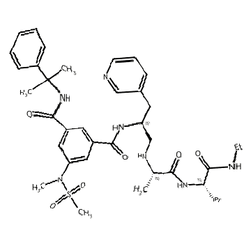 CCNC(=O)[C@@H](NC(=O)[C@H](C)NC[C@H](Cc1cccnc1)NC(=O)c1cc(C(=O)NC(C)(C)c2ccccc2)cc(N(C)S(C)(=O)=O)c1)C(C)C